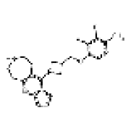 Cc1ccc(OCC2CN(c3c4c(nc5ccnn35)CCNCC4)C2)c(F)c1F